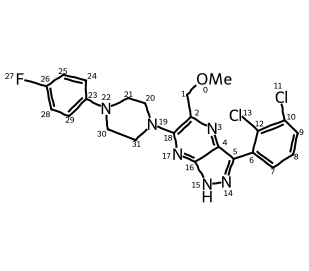 COCc1nc2c(-c3cccc(Cl)c3Cl)n[nH]c2nc1N1CCN(c2ccc(F)cc2)CC1